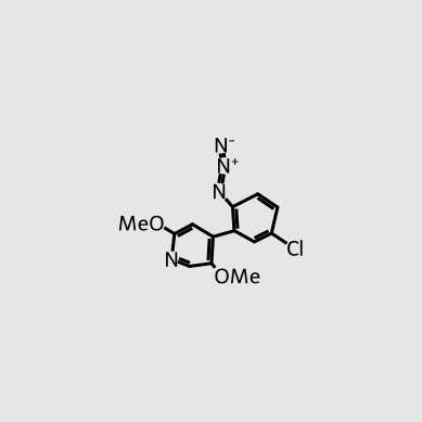 COc1cc(-c2cc(Cl)ccc2N=[N+]=[N-])c(OC)cn1